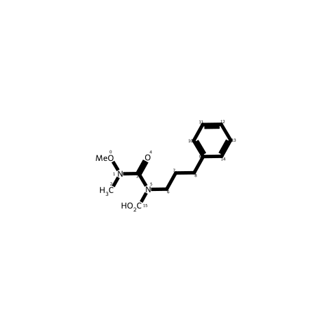 CON(C)C(=O)N(CCCc1ccccc1)C(=O)O